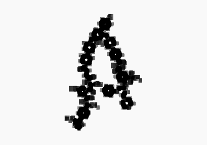 Cc1ncsc1-c1ccc([C@H](C)NC(=O)[C@@H]2C[C@@H](O)CN2C(=O)[C@@H](NC(=O)CCC(=O)N2CCC(C3CCN(CC4(C)CCC(c5ccc(Cl)cc5)=C(CN5CCN(c6ccc(C(=O)NS(=O)(=O)c7ccc(N[C@H](CCN8CCOCC8)CSc8ccccc8)c(S(=O)(=O)C(F)(F)F)c7)cc6)CC5)C4)CC3)CC2)C(C)(C)C)cc1